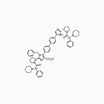 O=C(O)c1nc([C@@H]2CCCN2C(=O)[C@@H](c2ccccc2)N2CCCCC2)n(Cc2ccccc2)c1-c1ccc(-c2ccc(-c3cnc([C@@H]4CCCN4C(=O)[C@@H](c4ccccc4)N4CCCCC4)[nH]3)cc2)cc1